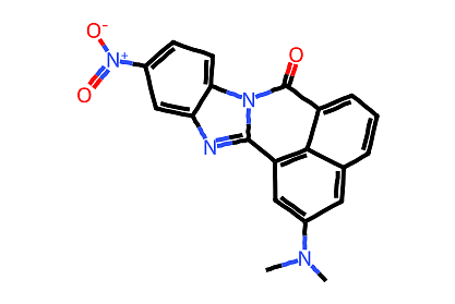 CN(C)c1cc2cccc3c(=O)n4c5ccc([N+](=O)[O-])cc5nc4c(c1)c23